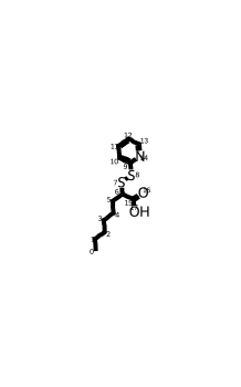 CCCCCCC(SSc1ccccn1)C(=O)O